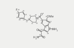 COc1nc2c(cc1C(=O)N1CCC(Cc3ccc(F)cc3)CC1)c(C(=O)C(N)=O)cn2N